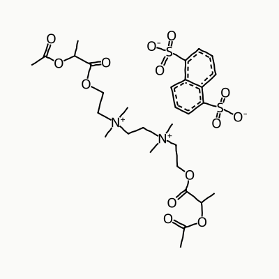 CC(=O)OC(C)C(=O)OCC[N+](C)(C)CC[N+](C)(C)CCOC(=O)C(C)OC(C)=O.O=S(=O)([O-])c1cccc2c(S(=O)(=O)[O-])cccc12